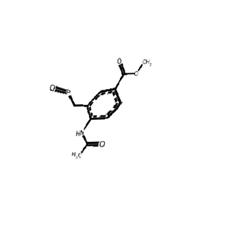 COC(=O)c1ccc(NC(C)=O)c(CP=O)c1